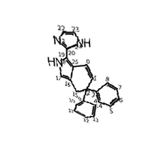 C1=CC(c2ccccc2)(c2ccccc2)Cc2c[nH]c(-c3ncc[nH]3)c21